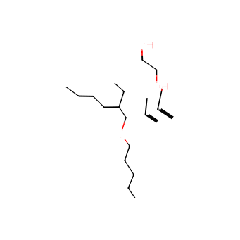 C=CC.C=CC.CCCCCOCC(CC)CCCC.OCCO